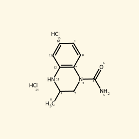 CC1CN(C(N)=O)c2ccc[c]c2N1.Cl.Cl